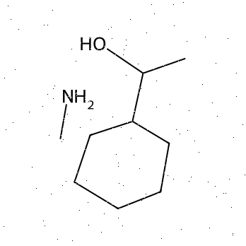 CC(O)C1CCCCC1.CN